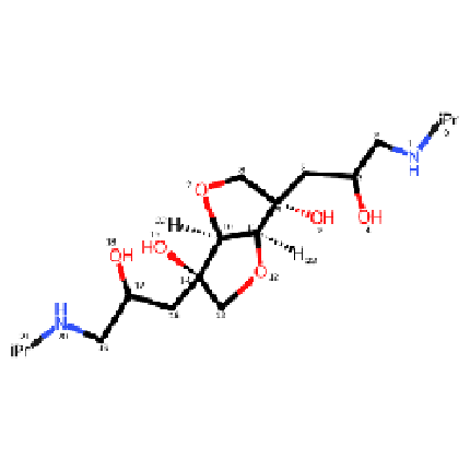 CC(C)NCC(O)C[C@]1(O)CO[C@H]2[C@@H]1OC[C@]2(O)CC(O)CNC(C)C